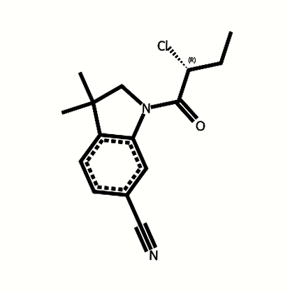 CC[C@@H](Cl)C(=O)N1CC(C)(C)c2ccc(C#N)cc21